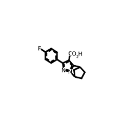 O=C(O)c1c(-c2ccc(F)cc2)nn2c1C1CCC2C1